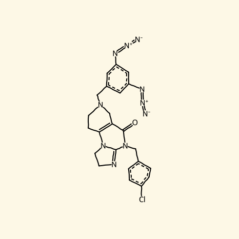 [N-]=[N+]=Nc1cc(CN2CCC3=C(C2)C(=O)N(Cc2ccc(Cl)cc2)C2=NCCN23)cc(N=[N+]=[N-])c1